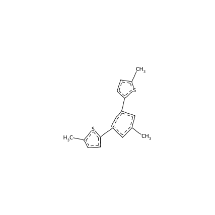 Cc1cc(-c2ccc(C)s2)cc(-c2ccc(C)s2)c1